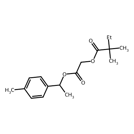 CCC(C)(C)C(=O)OCC(=O)OC(C)c1ccc(C)cc1